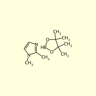 CC1(C)OBOC1(C)C.Cc1nccn1C